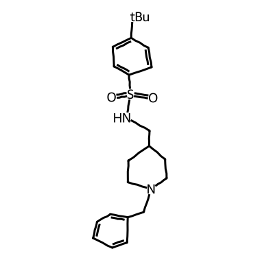 CC(C)(C)c1ccc(S(=O)(=O)NCC2CCN(Cc3ccccc3)CC2)cc1